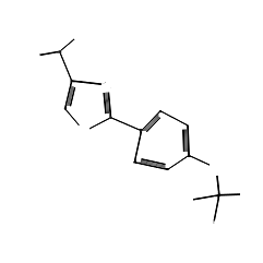 CC(C)c1csc(-c2ccc(OC(F)(F)F)cc2)n1